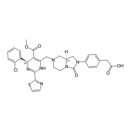 COC(=O)C1=C(CN2CCN3C(=O)N(c4ccc(CC(=O)O)cc4)C[C@@H]3C2)NC(c2nccs2)=N[C@H]1c1ccccc1Cl